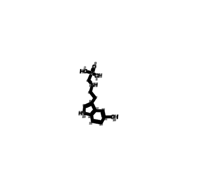 O=P(O)(O)CNCCc1c[nH]c2ccc(O)cc12